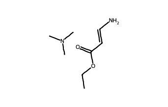 CCOC(=O)C=CN.CN(C)C